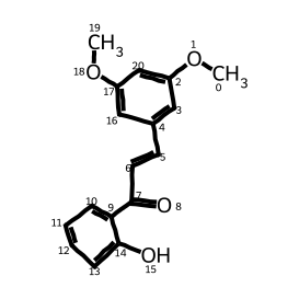 COc1cc(C=CC(=O)c2ccccc2O)cc(OC)c1